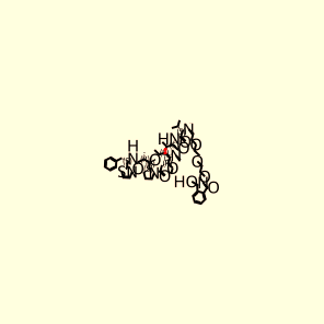 CC[C@H](C)[C@@H]([C@@H](CC(=O)N1CCC[C@H]1[C@H](OC)[C@@H](C)C(=O)N[C@@H](Cc1ccccc1)c1nccs1)OC)N(C)C(=O)[C@@H](NC(=O)[C@H](C(C)C)N(C)CCOCCOCCON1C(=O)c2ccccc2C1O)C(C)C